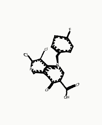 O=C(O)c1cn(-c2ccc(F)cc2)c2c(Cl)c(Cl)ncc2c1=O